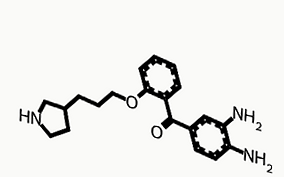 Nc1ccc(C(=O)c2ccccc2OCCCC2CCNC2)cc1N